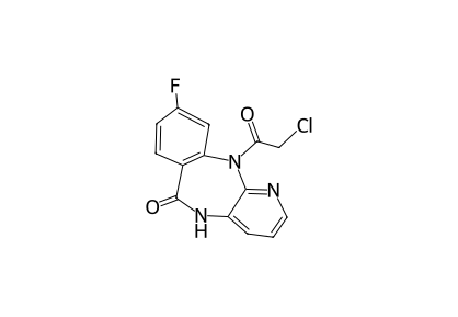 O=C1Nc2cccnc2N(C(=O)CCl)c2cc(F)ccc21